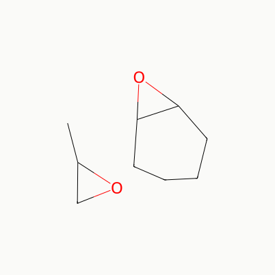 C1CCC2OC2C1.CC1CO1